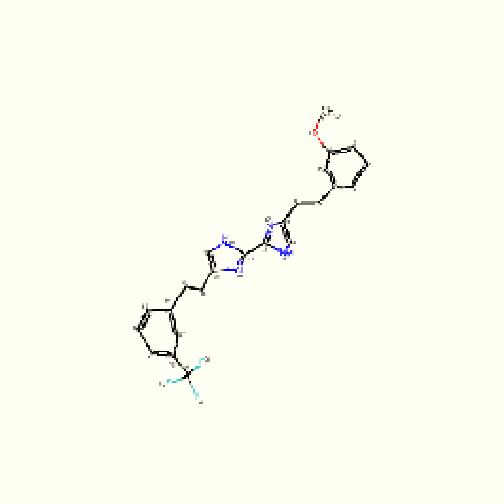 COc1cccc(CCc2c[nH]c(-c3nc(CCc4cccc(C(F)(F)F)c4)c[nH]3)n2)c1